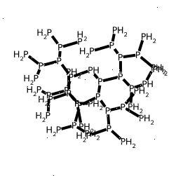 PPP(P)P(P(PP(P(P(P)P)P(P)P)P(P(P)P)P(P)P)P(P(P(P)P)P(P)P)P(P(P)P)P(P)P)P(P(P)P)P(P)P